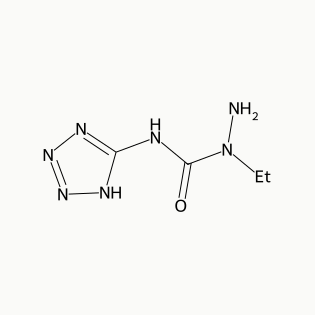 CCN(N)C(=O)Nc1nnn[nH]1